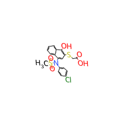 CS(=O)(=O)N(c1ccc(Cl)cc1)c1cc(SCC(=O)O)c(O)c2ccccc12